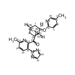 Cc1ccc(O[C@@H]2C[C@H]3CC[C@@H]2N(C(=O)c2nc(C)ccc2-n2nccn2)C3)nc1